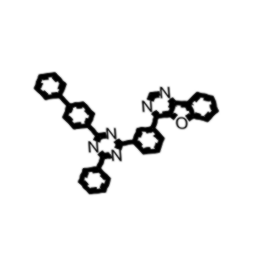 c1ccc(-c2ccc(-c3nc(-c4ccccc4)nc(-c4cccc(-c5ncnc6c5oc5ccccc56)c4)n3)cc2)cc1